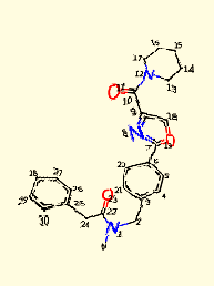 CN(Cc1ccc(-c2nc(C(=O)N3CCCCC3)co2)cc1)C(=O)Cc1ccccc1